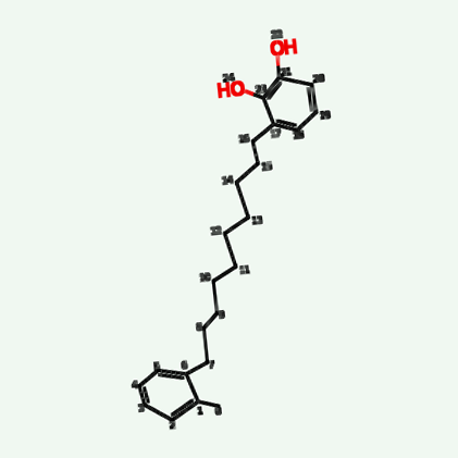 Cc1ccccc1CCCCCCCCCCc1cccc(O)c1O